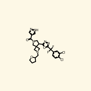 O=C(c1cn[nH]c1)N1CC(c2nnc(C(F)(F)c3ccc(Cl)c(Cl)c3)o2)C2(CN(CC3CCCO3)C2)C1